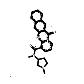 CN1CCC(N(C)C(=O)c2cccn3c(=O)c4cc5ccccc5cc4nc23)C1